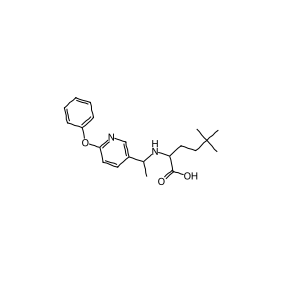 CC(NC(CCC(C)(C)C)C(=O)O)c1ccc(Oc2ccccc2)nc1